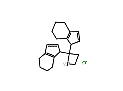 C1=CC([C]2(C3C=CC4=C3CCCC4)C[CH2][Hf+]2)C2=C1CCCC2.[Cl-]